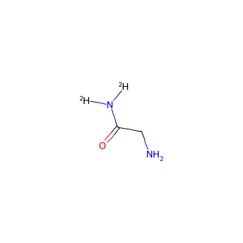 [2H]N([2H])C(=O)CN